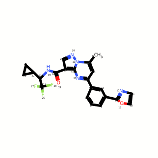 Cc1cc(-c2cccc(-c3ncco3)c2)nc2c(C(=O)NC(C3CC3)C(F)(F)F)cnn12